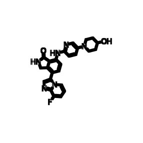 O=C1NCc2c(-c3cnc4c(F)cccn34)ccc(Nc3ccc(N4CCC(O)CC4)cn3)c21